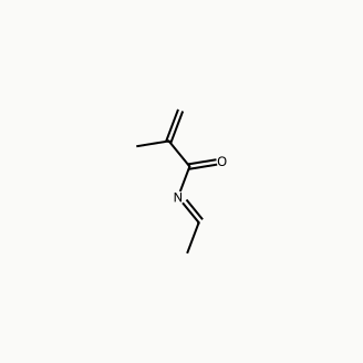 C=C(C)C(=O)N=CC